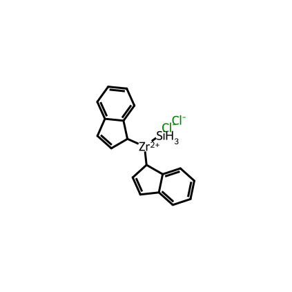 [Cl-].[Cl-].[SiH3][Zr+2]([CH]1C=Cc2ccccc21)[CH]1C=Cc2ccccc21